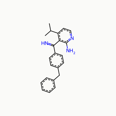 CC(C)c1ccnc(N)c1C(=N)c1ccc(Cc2ccccc2)cc1